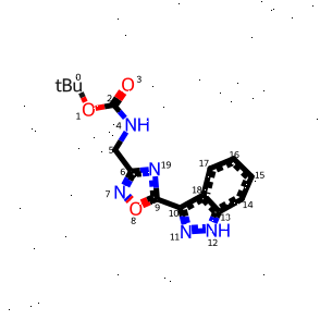 CC(C)(C)OC(=O)NCc1noc(-c2n[nH]c3ccccc23)n1